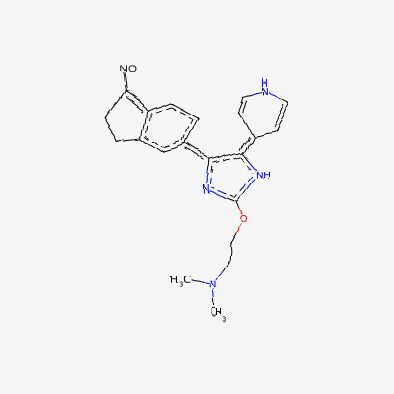 CN(C)CCOc1n/c(=c2/ccc3c(c2)CCC=3N=O)c(=C2C=CNC=C2)[nH]1